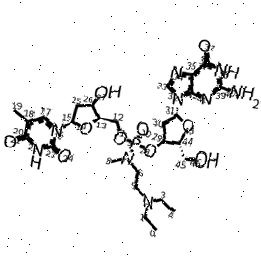 CCN(CC)CCN(C)P(=O)(OC[C@H]1O[C@@H](n2cc(C)c(=O)[nH]c2=O)CC1O)OC1C[C@H](n2cnc3c(=O)[nH]c(N)nc32)O[C@@H]1CO